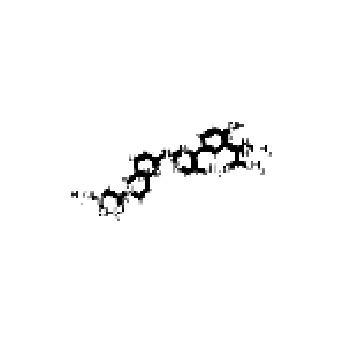 CN/C(=C1/C=C(c2nc(Nc3ccc4c(n3)CCN(C(=O)CN(C)C)C4)ncc2F)C=CC1=N)C(C)C